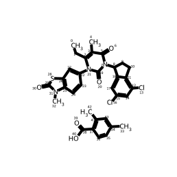 CCc1c(C)c(=O)n(C2CCc3c(Cl)cc(Cl)cc32)c(=O)n1-c1ccc2c(c1)sc(=O)n2C.Cc1ccc(C(=O)O)c(C)c1